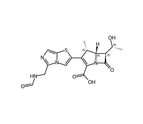 C[C@@H](O)[C@H]1C(=O)N2C(C(=O)O)=C(c3cn4c(CNC=O)ncc4s3)[C@H](C)[C@H]12